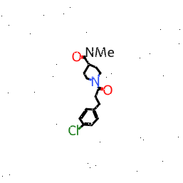 CNC(=O)C1CCN(C(=O)CCc2ccc(Cl)cc2)CC1